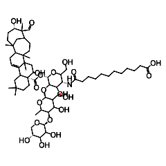 CC1O[C@@H](OC2C(O)[C@@H](NC(=O)CCCCCCCCCCC(=O)O)C(CO)O[C@H]2OC(=O)[C@]23CCC(C)(C)CC2C2=CCC4C5(C)CC[C@H](O)C(C)(C=O)C(CCC4(C)C2(C)CC3O)C5)C(CO)C(O)[C@H]1O[C@@H]1OC[C@@H](O)C(O)C1O